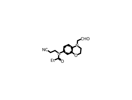 CCC(=O)N(CCC#N)c1ccc2c(c1)OCCN2CC=O